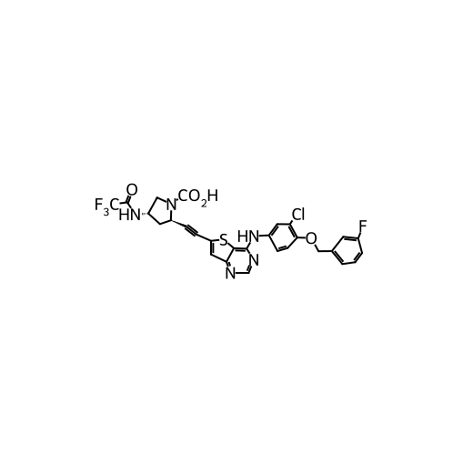 O=C(O)N1C[C@@H](NC(=O)C(F)(F)F)C[C@@H]1C#Cc1cc2ncnc(Nc3ccc(OCc4cccc(F)c4)c(Cl)c3)c2s1